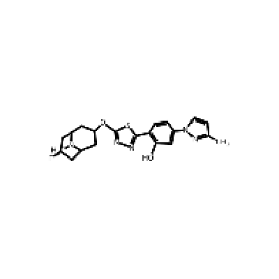 Cc1ccn(-c2ccc(-c3nnc(OC4CC5CC(F)CC(C4)N5C)s3)c(O)c2)n1